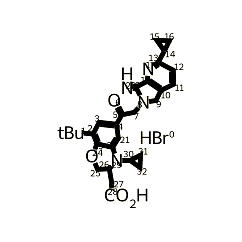 Br.CC(C)(C)c1cc(C(=O)CN2Cc3ccc(C4CC4)nc3C2=N)cc2c1OCC(CC(=O)O)N2C1CC1